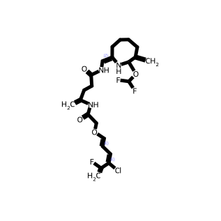 C=C(CCC(=O)N/C=C1/CCCCC(=C)C(OC(F)F)N1)NC(=O)CO/C=C/C=C(/Cl)C(=C)F